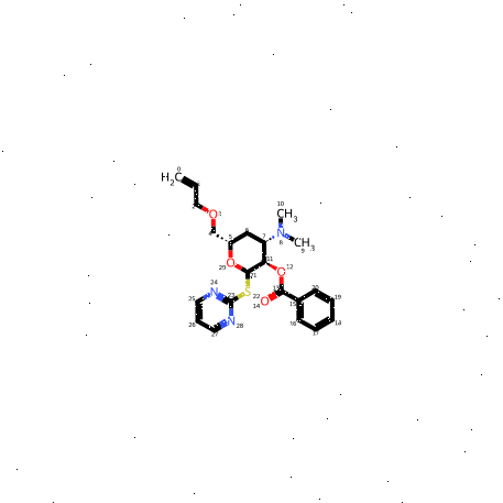 C=CCOC[C@@H]1C[C@H](N(C)C)[C@@H](OC(=O)c2ccccc2)C(Sc2ncccn2)O1